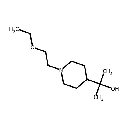 CCOCCN1CCC(C(C)(C)O)CC1